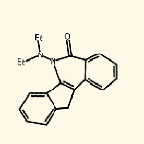 CCN(CC)n1c2c(c3ccccc3c1=O)Cc1ccccc1-2